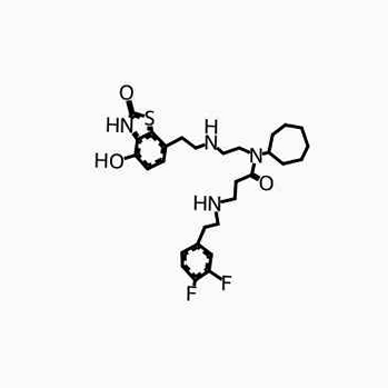 O=C(CCNCCc1ccc(F)c(F)c1)N(CCNCCc1ccc(O)c2[nH]c(=O)sc12)C1CCCCCC1